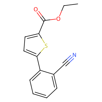 CCOC(=O)c1ccc(-c2ccccc2C#N)s1